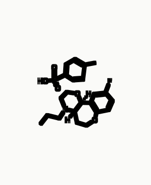 CCCN1CCO[C@H]2c3cc(F)ccc3OCC[C@@H]21.Cc1ccc(S(=O)(=O)O)cc1